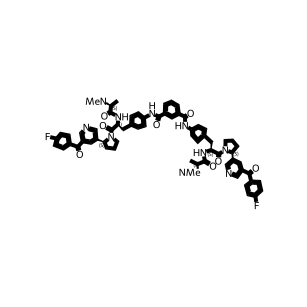 CN[C@@H](C)C(=O)N[C@@H](Cc1ccc(NC(=O)c2cccc(C(=O)Nc3ccc(C[C@H](NC(=O)[C@H](C)NC)C(=O)N4CCC[C@H]4c4cncc(C(=O)c5ccc(F)cc5)c4)cc3)c2)cc1)C(=O)N1CCC[C@H]1c1cncc(C(=O)c2ccc(F)cc2)c1